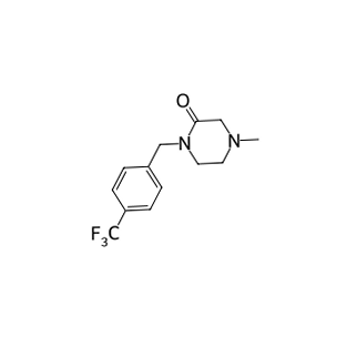 CN1CCN(Cc2ccc(C(F)(F)F)cc2)C(=O)C1